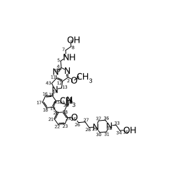 COc1nc(CNCCO)nc2c1CN(c1cccc(-c3cccc(OCCCN4CCN(CCO)CC4)c3C#N)c1C)C2